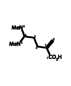 C=C(CCC(NC)NC)C(=O)O